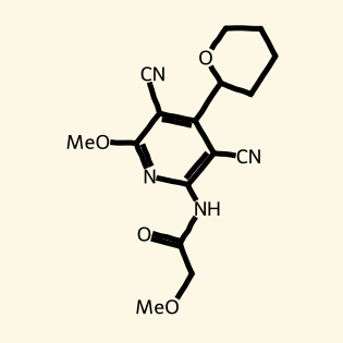 COCC(=O)Nc1nc(OC)c(C#N)c(C2CCCCO2)c1C#N